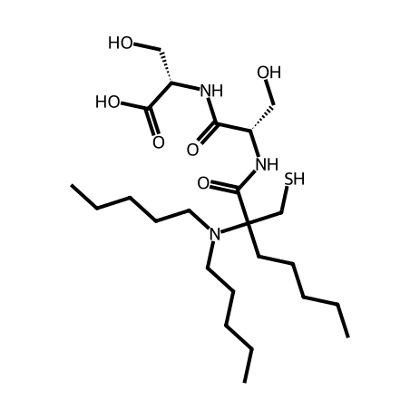 CCCCCN(CCCCC)C(CS)(CCCCC)C(=O)N[C@@H](CO)C(=O)N[C@@H](CO)C(=O)O